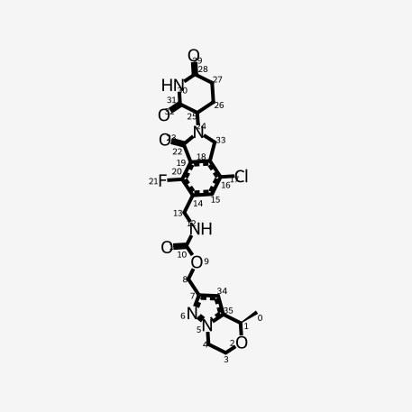 C[C@H]1OCCn2nc(COC(=O)NCc3cc(Cl)c4c(c3F)C(=O)N(C3CCC(=O)NC3=O)C4)cc21